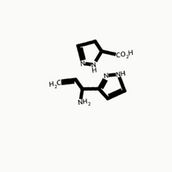 C=CC(N)c1cc[nH]n1.O=C(O)C1CC=NN1